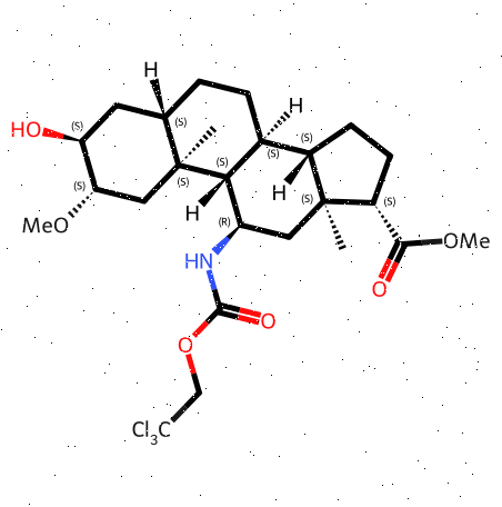 COC(=O)[C@H]1CC[C@H]2[C@@H]3CC[C@H]4C[C@H](O)[C@@H](OC)C[C@]4(C)[C@H]3[C@H](NC(=O)OCC(Cl)(Cl)Cl)C[C@]12C